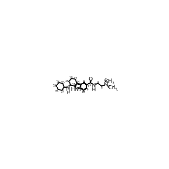 CN(C)CCNC(=O)c1ccc2[nH]c3c(c2c1)CCCC3NC1CCCCC1